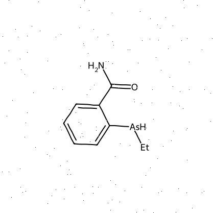 CC[AsH]c1ccccc1C(N)=O